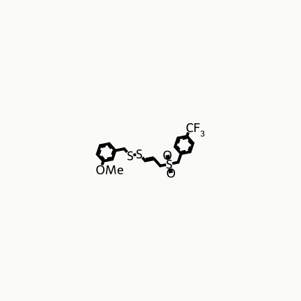 COc1cccc(CSS/C=C/CS(=O)(=O)Cc2ccc(C(F)(F)F)cc2)c1